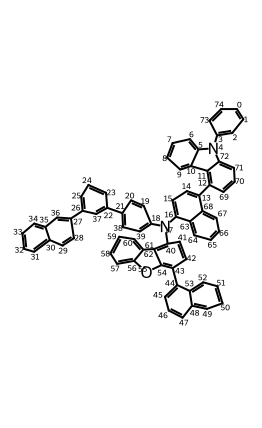 c1ccc(-n2c3ccccc3c3c(-c4ccc(N(c5ccc(-c6cccc(-c7ccc8ccccc8c7)c6)cc5)c5ccc(-c6cccc7ccccc67)c6oc7ccccc7c56)c5ccccc45)cccc32)cc1